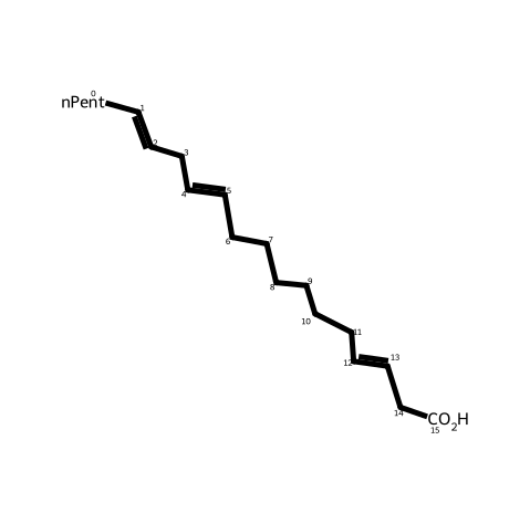 CCCCCC=CCC=CCCCCCCC=CCC(=O)O